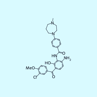 COc1ccc(C(=O)c2ccc(N)c(NC(=O)c3ccc(N4CCCN(C)CC4)cc3)c2O)cc1Cl